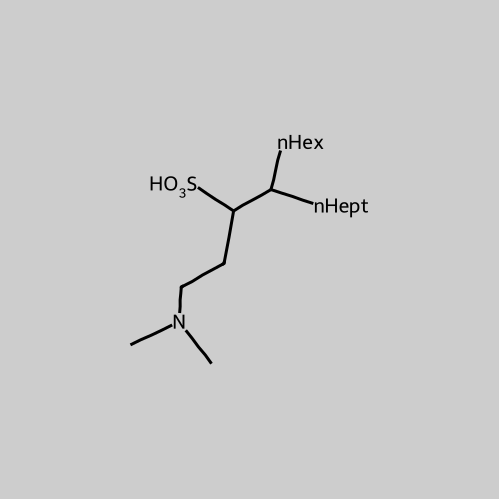 CCCCCCCC(CCCCCC)C(CCN(C)C)S(=O)(=O)O